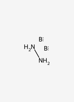 NN.[B].[B]